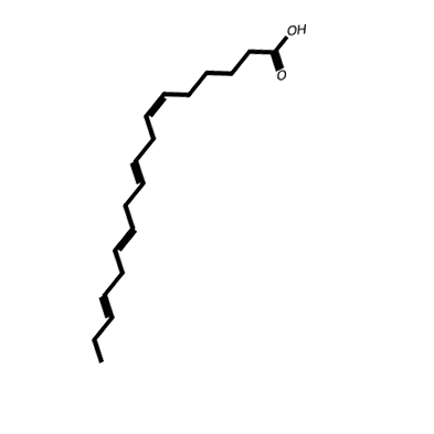 CCC=CCC=CCC=CC/C=C\CCCCC(=O)O